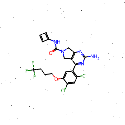 Nc1nc2c(c(-c3cc(OCCCC(F)(F)F)c(Cl)cc3Cl)n1)CN(C(=O)NC1=CC=C1)C2